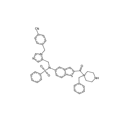 N#Cc1ccc(Cn2cncc2CN(c2ccc3sc(C(=O)[N+]4(Cc5ccccc5)CCNCC4)cc3c2)S(=O)(=O)c2ccccc2)cc1